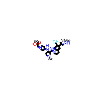 CN/C=C(\C=N)c1cc2c(cc1C(F)F)N(C(=N)C1=C(NC3CCN(CC(=O)OC(C)(C)C)CC3)CCN(C(C)=O)C1)CCC2